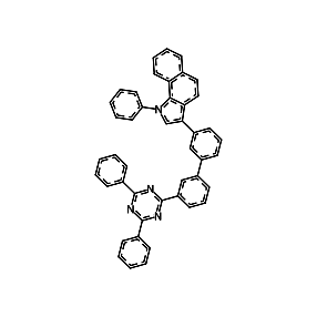 c1ccc(-c2nc(-c3ccccc3)nc(-c3cccc(-c4cccc(-c5cn(-c6ccccc6)c6c5ccc5ccccc56)c4)c3)n2)cc1